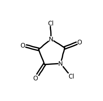 O=C1C(=O)N(Cl)C(=O)N1Cl